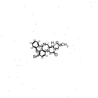 CN(C)CN1N=C2CN=C(c3ccccc3Br)c3cc(Br)ccc3N2CC1=O